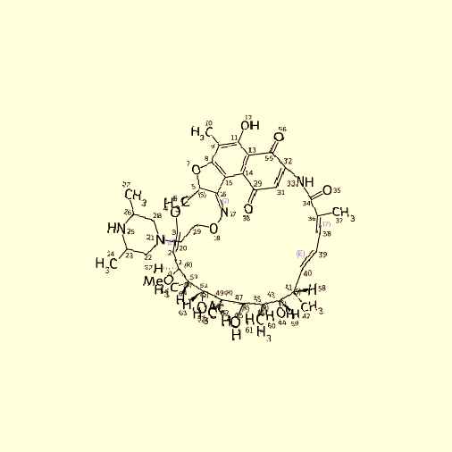 CO[C@H]1/C=C/O[C@@]2(C)Oc3c(C)c(O)c4c(c3/C2=N/OCCN2CC(C)NC(C)C2)C(=O)C=C(NC(=O)/C(C)=C\C=C\[C@H](C)[C@H](O)[C@@H](C)[C@@H](O)[C@@H](C)[C@H](OC(C)=O)[C@@H]1C)C4=O